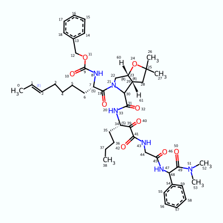 C/C=C/CCCC[C@H](NC(=O)OCc1ccccc1)C(=O)N1C[C@@H]2OC(C)(C)C[C@@H]2C1C(=O)N[C@@H](CCCC)C(=O)C(=O)NCC(=O)NC(C(=O)N(C)C)c1ccccc1